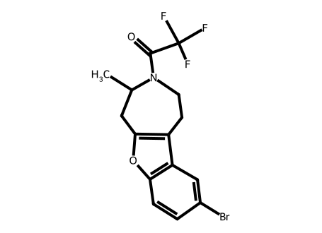 CC1Cc2oc3ccc(Br)cc3c2CCN1C(=O)C(F)(F)F